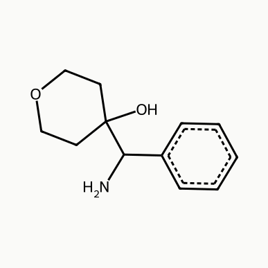 NC(c1ccccc1)C1(O)CCOCC1